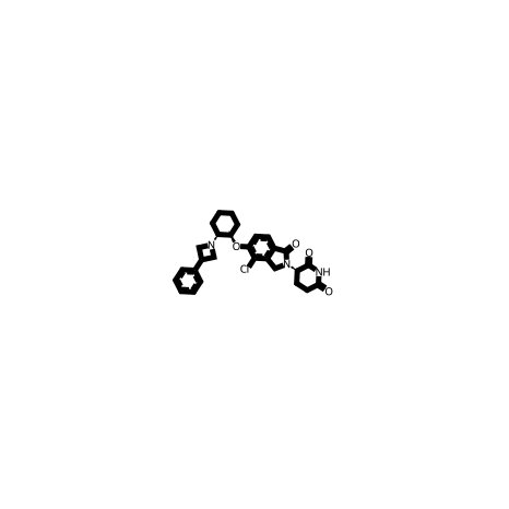 O=C1CC[C@H](N2Cc3c(ccc(O[C@@H]4CCCC[C@H]4N4CC(c5ccccc5)C4)c3Cl)C2=O)C(=O)N1